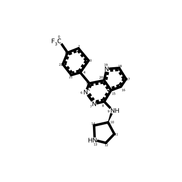 FC(F)(F)c1ccc(-c2nnc(N[C@H]3CCNC3)c3cccnc23)cc1